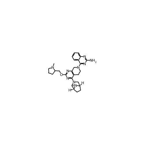 CN1CCCC1COc1nc2c(c(N3C[C@H]4CC[C@@H](C3)N4)n1)CCN(c1nc(N)nc3ccccc13)C2